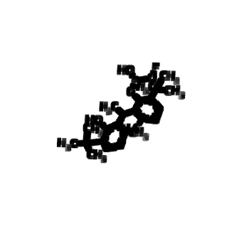 Cc1ccc(C(C)(C)C)c(O)c1C(C)c1c(C)ccc(C(C)(C)C)c1OP(O)OF